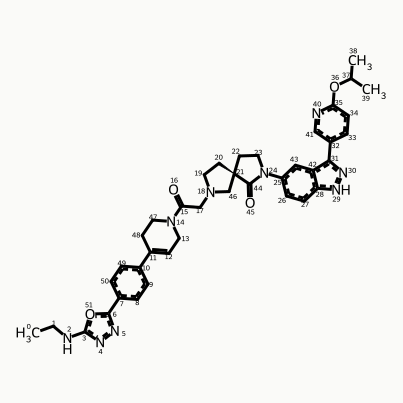 CCNc1nnc(-c2ccc(C3=CCN(C(=O)CN4CC[C@]5(CCN(c6ccc7[nH]nc(-c8ccc(OC(C)C)nc8)c7c6)C5=O)C4)CC3)cc2)o1